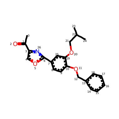 CC(=O)c1coc(-c2ccc(OCc3ccccc3)c(OCC(C)C)c2)n1